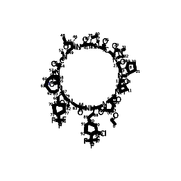 CCO[C@@H]1C[C@H]2C(=O)NC3(CCC3)C(=O)N(C)[C@@H](C3CCCC3)C(=O)N(C)[C@H](C(=O)N(C)C)CC(=O)N(C)[C@@H](CC)C(=O)N[C@@H]([C@@H](C)CC)C(=O)N(C)CC(=O)N(C)[C@H]3C/C=C\CCN(C3=O)[C@@H](Cc3ccc(C(F)(F)F)cc3)C(=O)N(C)CC(=O)N[C@@H](CCc3ccc(C(F)(F)F)c(Cl)c3)C(=O)N2C1